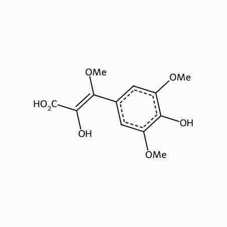 COC(=C(O)C(=O)O)c1cc(OC)c(O)c(OC)c1